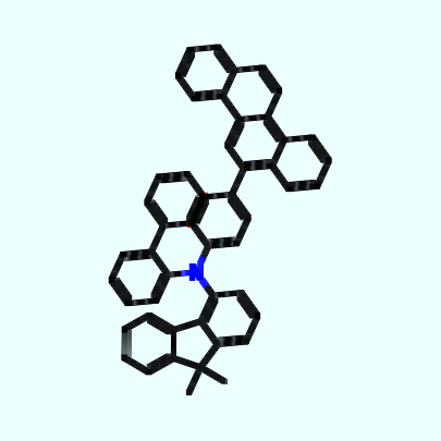 CC1(C)c2ccccc2-c2c(N(c3ccc(-c4cc5c6ccccc6ccc5c5ccccc45)cc3)c3ccccc3-c3ccccc3)cccc21